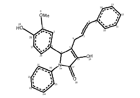 COc1cc(C2C(CC=Cc3ccccc3)=C(O)C(=O)N2c2ccccc2)ccc1O